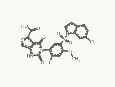 COc1cc(F)c(-n2c(=O)[nH]c3csc(C(=O)O)c3c2=O)cc1S(=O)(=O)n1ccc2ccc(Cl)cc21